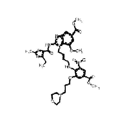 CCc1nc(C)sc1C(=O)Nc1nc2cc(C(=O)OC)cc(OC)c2n1C/C=C/CNc1c(OCCCN2CCOCC2)cc(C(=O)OC)cc1[N+](=O)[O-]